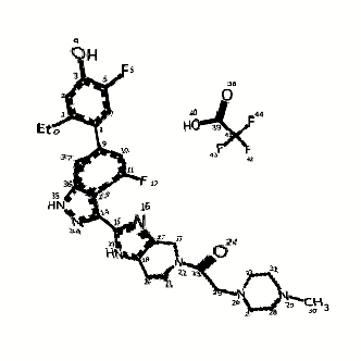 CCc1cc(O)c(F)cc1-c1cc(F)c2c(-c3nc4c([nH]3)CCN(C(=O)CN3CCN(C)CC3)C4)n[nH]c2c1.O=C(O)C(F)(F)F